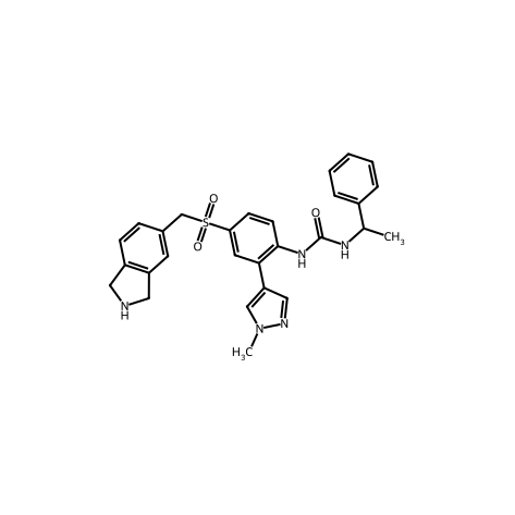 CC(NC(=O)Nc1ccc(S(=O)(=O)Cc2ccc3c(c2)CNC3)cc1-c1cnn(C)c1)c1ccccc1